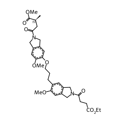 CCOC(=O)CCC(=O)N1Cc2cc(CCCOc3cc4c(cc3OC)CN(C(=O)C[C@H](C)C(=O)OC)C4)c(OC)cc2C1